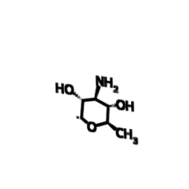 C[C@H]1O[CH][C@H](O)[C@@H](N)[C@@H]1O